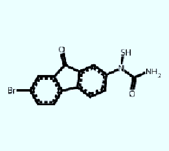 NC(=O)N(S)c1ccc2c(c1)C(=O)c1cc(Br)ccc1-2